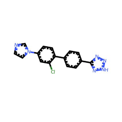 Clc1cc(-n2ccnc2)ccc1-c1ccc(-c2nn[nH]n2)cc1